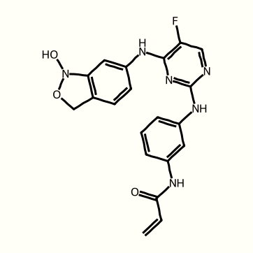 C=CC(=O)Nc1cccc(Nc2ncc(F)c(Nc3ccc4c(c3)N(O)OC4)n2)c1